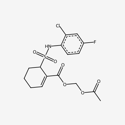 CC(=O)OCOC(=O)C1=CCCCC1S(=O)(=O)Nc1ccc(F)cc1Cl